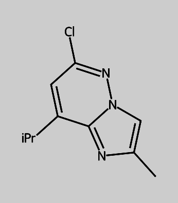 Cc1cn2nc(Cl)cc(C(C)C)c2n1